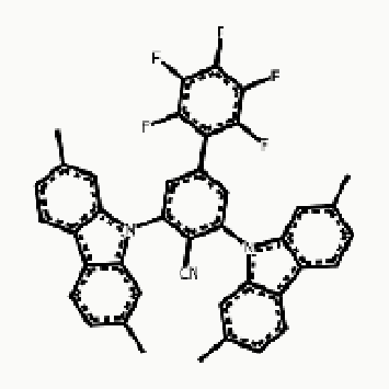 Cc1ccc2c3ccc(C)cc3n(-c3cc(-c4c(F)c(F)c(F)c(F)c4F)cc(-n4c5cc(C)ccc5c5ccc(C)cc54)c3C#N)c2c1